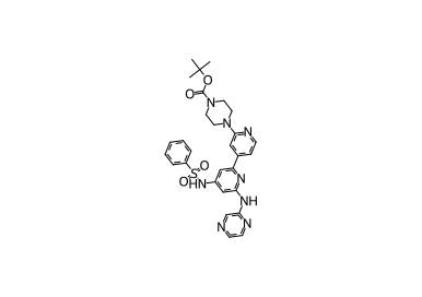 CC(C)(C)OC(=O)N1CCN(c2cc(-c3cc(NS(=O)(=O)c4ccccc4)cc(Nc4cnccn4)n3)ccn2)CC1